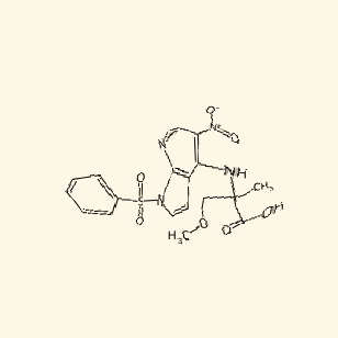 COCC(C)(Nc1c([N+](=O)[O-])cnc2c1ccn2S(=O)(=O)c1ccccc1)C(=O)O